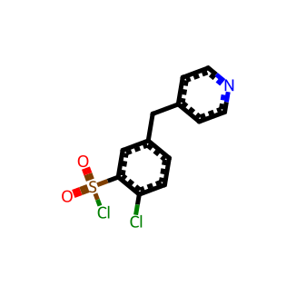 O=S(=O)(Cl)c1cc(Cc2ccncc2)ccc1Cl